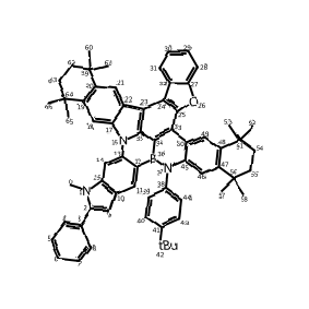 Cn1c(-c2ccccc2)cc2cc3c(cc21)-n1c2cc4c(cc2c2c5c(oc6ccccc65)c5c(c21)B3N(c1ccc(C(C)(C)C)cc1)c1cc2c(cc1-5)C(C)(C)CCC2(C)C)C(C)(C)CCC4(C)C